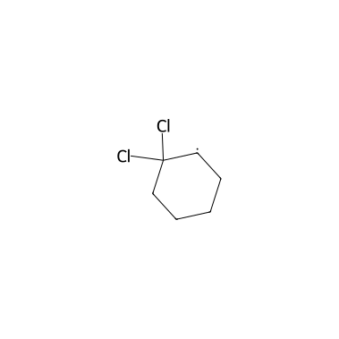 ClC1(Cl)[CH]CCCC1